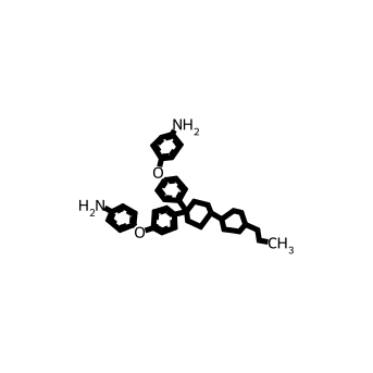 CCCC1CCC(C2CCC(c3ccc(Oc4ccc(N)cc4)cc3)(c3ccc(Oc4ccc(N)cc4)cc3)CC2)CC1